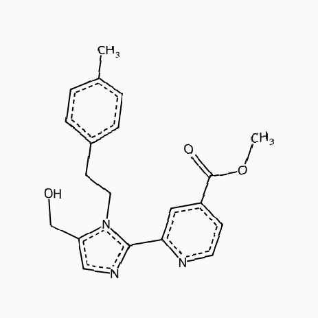 COC(=O)c1ccnc(-c2ncc(CO)n2CCc2ccc(C)cc2)c1